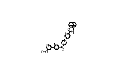 CCOc1cncc(-c2ccc(C(=O)N3CCN(c4ccc(C(=O)N(C)CC56CC7CC(CC(C7)C5)C6)nn4)CC3)cc2C)c1